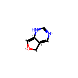 C1=NC=C2COC=C2N1